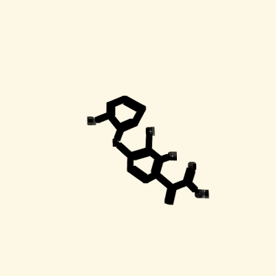 C=C(C(=O)O)c1ccc(Sc2ccccc2Br)c(Cl)c1Cl